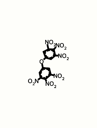 O=[N+]([O-])c1cc(Oc2cc([N+](=O)[O-])c([N+](=O)[O-])c([N+](=O)[O-])c2)cc([N+](=O)[O-])c1[N+](=O)[O-]